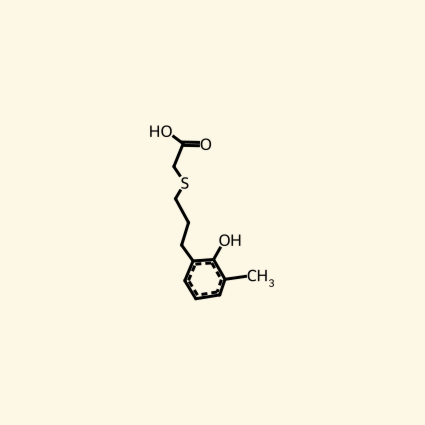 Cc1cccc(CCCSCC(=O)O)c1O